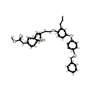 CCCc1cc(Oc2ccc(OCc3ccccc3)cc2)ccc1OCCc1cc2cc(CC(=O)OC)ccc2[nH]1